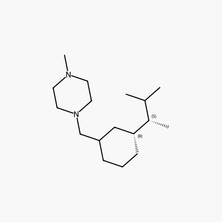 CC(C)[C@H](C)[C@@H]1CCCC(CN2CCN(C)CC2)C1